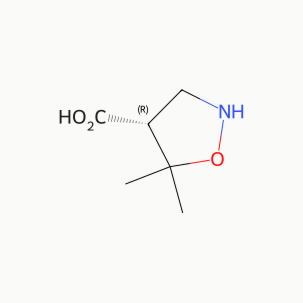 CC1(C)ONC[C@H]1C(=O)O